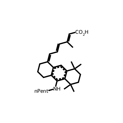 CCCCCNc1c2c(cc3c1C(C)(C)CCC3(C)C)\C(=C/C=C/C(C)=C/C(=O)O)CCC2